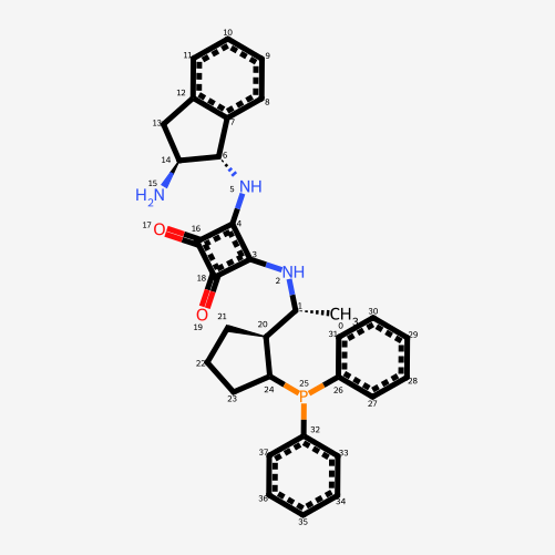 C[C@@H](Nc1c(N[C@H]2c3ccccc3C[C@@H]2N)c(=O)c1=O)[C@@H]1CCCC1P(c1ccccc1)c1ccccc1